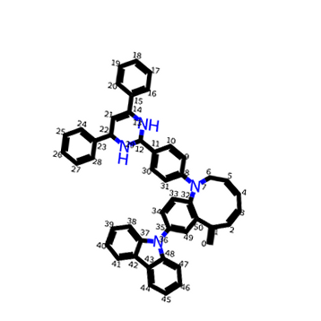 C=C1/C=C\C=C/CN(c2ccc(C3NC(c4ccccc4)=CC(c4ccccc4)N3)cc2)c2ccc(-n3c4ccccc4c4ccccc43)cc21